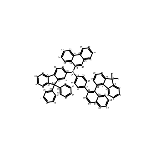 CC1(C)c2ccccc2-c2c(-c3c(-c4ccc(N(c5ccc6c(c5)C(c5ccccc5)(c5ccccc5)c5ccccc5-6)c5cc6ccccc6c6ccccc56)cc4)ccc4ccccc34)cccc21